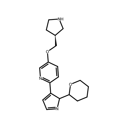 C1=NC(C2CCCCO2)C(c2ccc(OC[C@H]3CCNC3)cn2)=C1